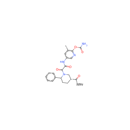 CNC(=O)C1CCC(c2ccccc2)N(C(=O)C(=O)Nc2cnc(OC(N)=O)c(C)c2)C1